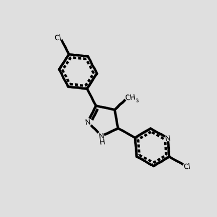 CC1C(c2ccc(Cl)cc2)=NNC1c1ccc(Cl)nc1